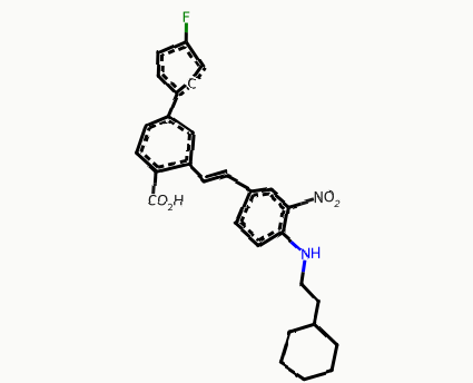 O=C(O)c1ccc(-c2ccc(F)cc2)cc1C=Cc1ccc(NCCC2CCCCC2)c([N+](=O)[O-])c1